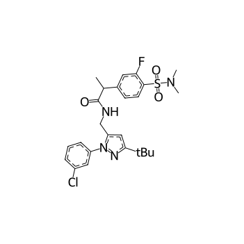 CC(C(=O)NCc1cc(C(C)(C)C)nn1-c1cccc(Cl)c1)c1ccc(S(=O)(=O)N(C)C)c(F)c1